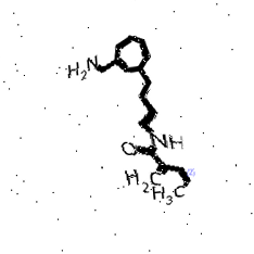 C=C(/C=C\C)C(=O)NCCCCC1C=CC=CC(CN)=C1